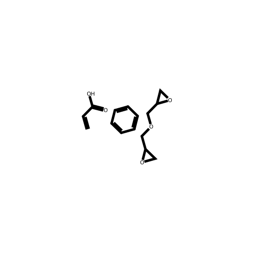 C(OCC1CO1)C1CO1.C=CC(=O)O.c1ccccc1